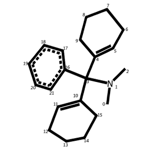 CN(C)C(C1=CCCCC1)(C1=CCCCC1)c1ccccc1